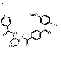 COc1ccc(OC(C)=O)c(C(=O)c2ccc(C(=O)N[C@@H]3CNC[C@H]3NC(=O)c3ccncc3)cc2)c1